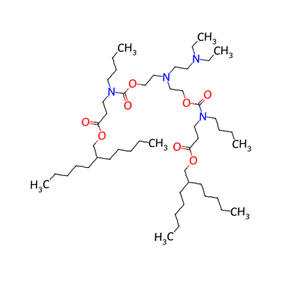 CCCCCC(CCCCC)COC(=O)CCN(CCCC)C(=O)OCCN(CCOC(=O)N(CCCC)CCC(=O)OCC(CCCCC)CCCCC)CCN(CC)CC